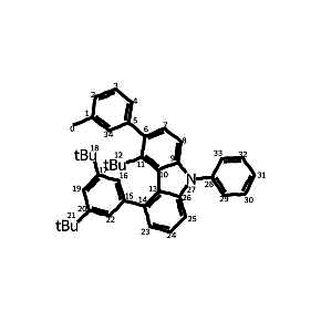 Cc1cccc(-c2ccc3c(c2C(C)(C)C)c2c(-c4cc(C(C)(C)C)cc(C(C)(C)C)c4)cccc2n3-c2ccccc2)c1